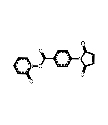 O=C(On1ccccc1=O)c1ccc(N2C(=O)C=CC2=O)cc1